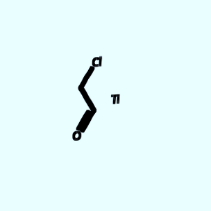 O=CCCl.[Ti]